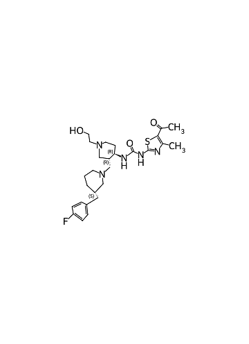 CC(=O)c1sc(NC(=O)N[C@@H]2CCN(CCO)C[C@H]2CN2CCC[C@@H](Cc3ccc(F)cc3)C2)nc1C